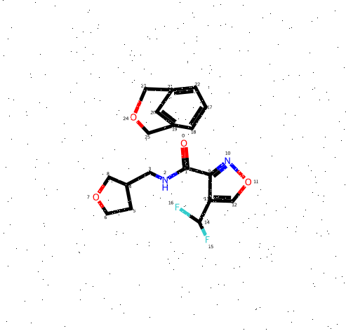 O=C(NCC1CCOC1)c1nocc1C(F)F.c1cc2cc(c1)COC2